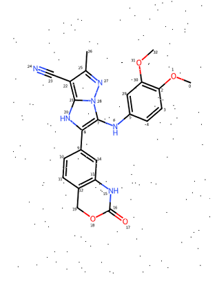 COc1ccc(Nc2c(-c3ccc4c(c3)NC(=O)OC4)[nH]c3c(C#N)c(C)nn23)cc1OC